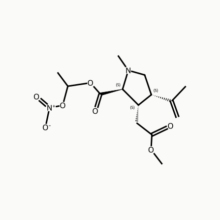 C=C(C)[C@H]1CN(C)[C@H](C(=O)OC(C)O[N+](=O)[O-])[C@H]1CC(=O)OC